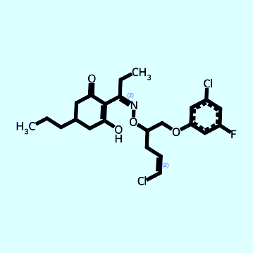 CCCC1CC(=O)C(/C(CC)=N\OC(C/C=C\Cl)COc2cc(F)cc(Cl)c2)=C(O)C1